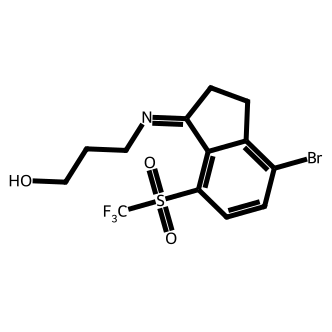 O=S(=O)(c1ccc(Br)c2c1/C(=N\CCCO)CC2)C(F)(F)F